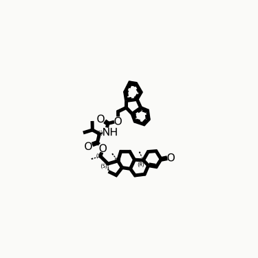 CC(C)[C@H](NC(=O)OCC1c2ccccc2-c2ccccc21)C(=O)O[C@@H](C)[C@H]1CCC2C3CCC4=CC(=O)CC[C@]4(C)C3CC[C@@]21C